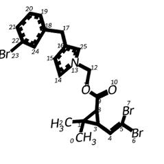 CC1(C)C(C=C(Br)Br)C1C(=O)OCn1ccc(Cc2cccc(Br)c2)c1